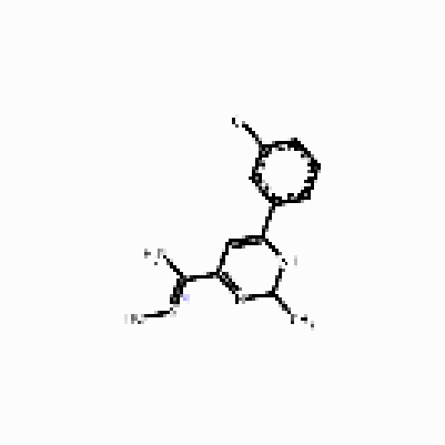 CC1N=C(/C(N)=N/O)C=C(c2cccc(Cl)c2)N1